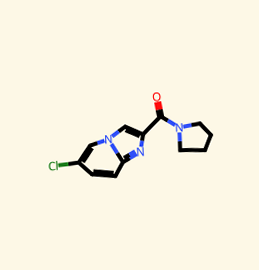 O=C(c1cn2cc(Cl)ccc2n1)N1CCCC1